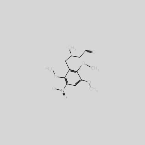 COc1cc([N+](=O)[O-])c(OC)c(C[C@@H](C)CC=O)c1OC